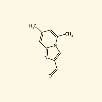 Cc1cc(C)n2cc(C=O)nc2c1